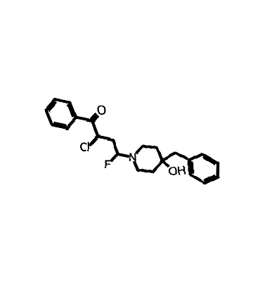 O=C(c1ccccc1)C(Cl)CC(F)N1CCC(O)(Cc2ccccc2)CC1